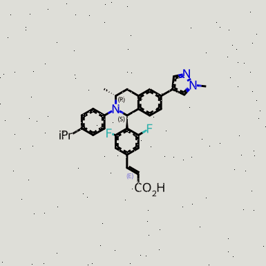 CC(C)c1ccc(N2[C@H](c3c(F)cc(/C=C/C(=O)O)cc3F)c3ccc(-c4cnn(C)c4)cc3C[C@H]2C)cc1